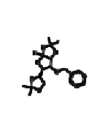 CC1(C)OCC([C@H]2O[C@@H]3OC(C)(C)OC3C2OCc2ccccc2)O1